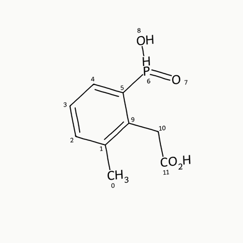 Cc1cccc([PH](=O)O)c1CC(=O)O